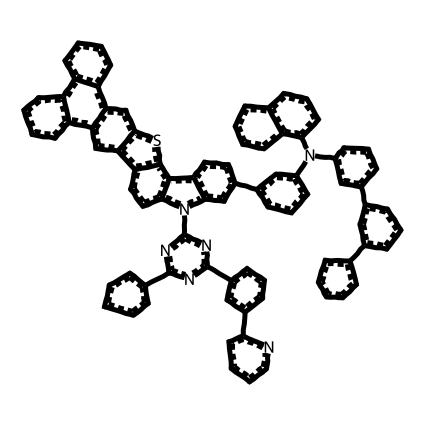 c1ccc(-c2cccc(-c3cccc(N(c4cccc(-c5ccc6c7c8sc9cc%10c%11ccccc%11c%11ccccc%11c%10cc9c8ccc7n(-c7nc(-c8ccccc8)nc(-c8cccc(-c9ccccn9)c8)n7)c6c5)c4)c4cccc5ccccc45)c3)c2)cc1